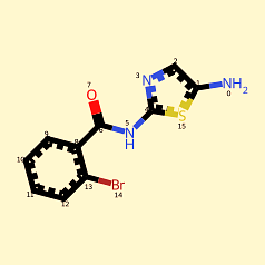 Nc1cnc(NC(=O)c2ccccc2Br)s1